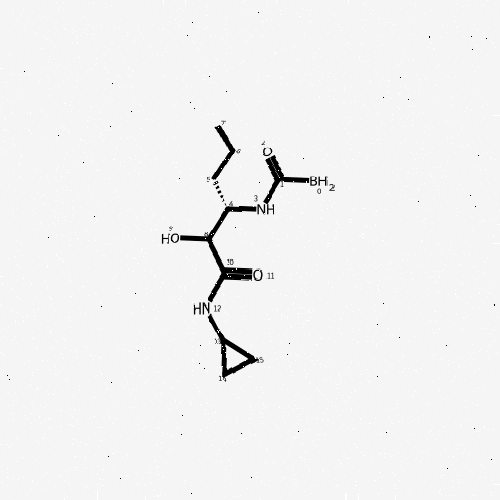 BC(=O)N[C@@H](CCC)C(O)C(=O)NC1CC1